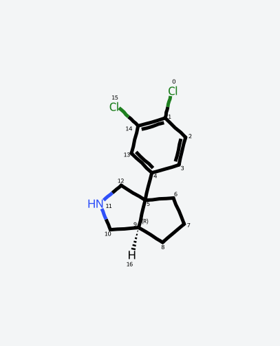 Clc1ccc(C23CCC[C@H]2CNC3)cc1Cl